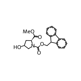 COC(=O)[C@@H]1CC(O)CN1C(=O)OCC1c2ccccc2-c2ccccc21